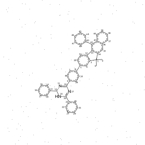 CC1(C)c2cc(-c3ccc(C4=NC(c5ccccc5)NC(c5ccccc5)=N4)cc3)ccc2-c2c1cc1ccccc1c2-c1ccccc1